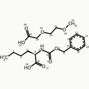 CCCC[C@@H](NC(=O)OCc1ccccc1)C(=O)O.COCCOCC(=O)O